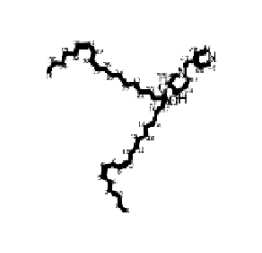 CCCCC/C=C\C/C=C\CCCCCCCCC1(CCCCCCCC/C=C\C/C=C\CCCCC)O[C@H]2CCN(Cc3ccncc3)C[C@@H]2O1